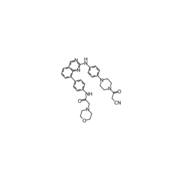 N#CCC(=O)N1CCN(c2ccc(Nc3ncc4cccc(-c5ccc(NC(=O)CN6CCOCC6)cc5)c4n3)cc2)CC1